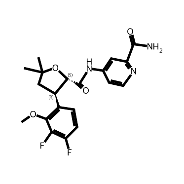 COc1c([C@H]2CC(C)(C)O[C@@H]2C(=O)Nc2ccnc(C(N)=O)c2)ccc(F)c1F